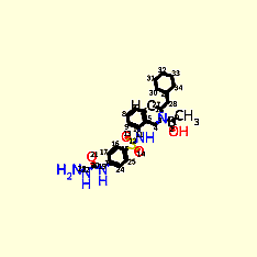 CB(O)N(Cc1ccccc1NS(=O)(=O)c1ccc(NC(=O)NN)cc1)C(C)CC1CCCCC1